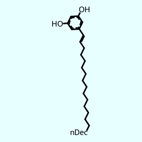 CCCCCCCCCCCCCCCCCCCCCCC/C=C/c1cc(O)cc(O)c1